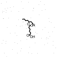 CCCCC(CC#N)OC(=O)CCCCC(=O)O